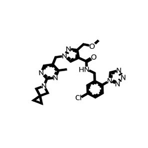 COCc1nn(Cc2cnc(N3CC4(CC4)C3)nc2C)cc1C(=O)NCc1cc(Cl)ccc1-n1cnnn1